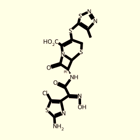 Cc1nnsc1SC1=C(C(=O)O)N2C(=O)[C@@H](NC(=O)C(=NO)c3nc(N)sc3Cl)C2SC1